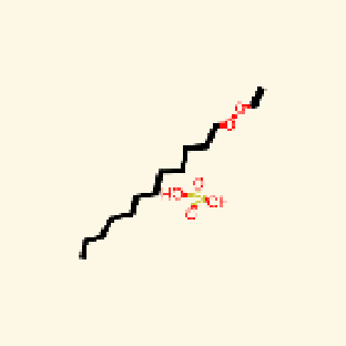 C=COOCCCCCCCCCCCC.O=S(=O)(O)O